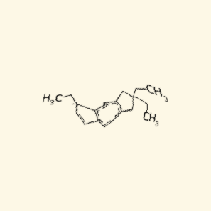 CC[C]1C=Cc2cc3c(cc21)CC(CC)(CC)C3